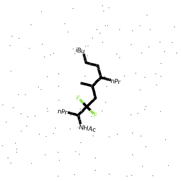 CCCC(CCC(C)CC)C(C)CC(F)(F)C(CCC)NC(C)=O